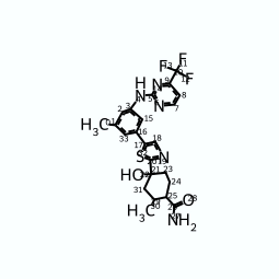 Cc1cc(Nc2nccc(C(F)(F)F)n2)cc(-c2cnc(C3(O)CCC(C(N)=O)C(C)C3)s2)c1